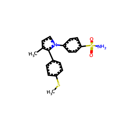 CSc1ccc(-c2c(C)ccn2-c2ccc(S(N)(=O)=O)cc2)cc1